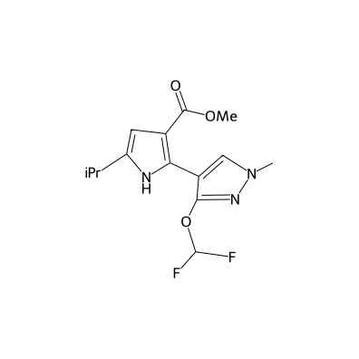 COC(=O)c1cc(C(C)C)[nH]c1-c1cn(C)nc1OC(F)F